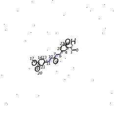 C=CCc1cc(/C=C/C(=O)/C=C/c2ccc(OC)c(OC)c2)ccc1O